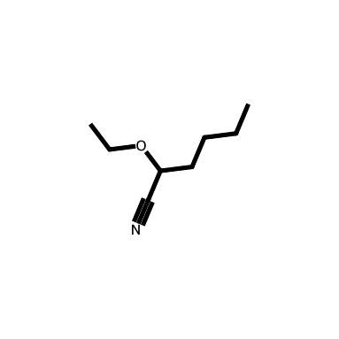 CCCCC(C#N)OCC